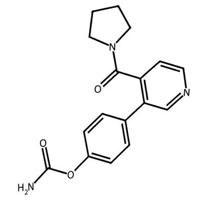 NC(=O)Oc1ccc(-c2cnccc2C(=O)N2CCCC2)cc1